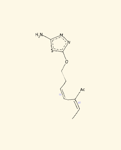 C/C=C(\C=C/CCOc1nnc(N)s1)C(C)=O